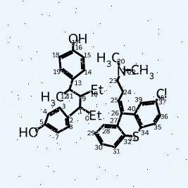 CCC(c1ccc(O)cc1)C(CC)C(C)c1ccc(O)cc1.CN(C)CC/C=C1/c2ccccc2Sc2ccc(Cl)cc21